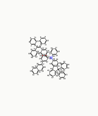 c1ccc(-c2c(-c3ccccc3)c3cc(-c4ccccc4N(c4cccc(-c5ccc6ccccc6c5)c4)c4ccc5c(c4)-c4ccccc4C5(c4ccccc4)c4ccccc4)ccc3c3ccccc23)cc1